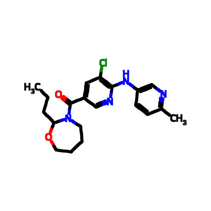 CCCC1OCCCCN1C(=O)c1cnc(Nc2ccc(C)nc2)c(Cl)c1